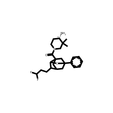 CC1(C)CN(C(=O)C23CC4CC(c5ccccc5)(CC2C4CCC(F)F)C3)CC[C@@H]1N